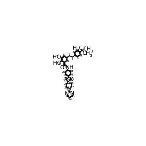 CC(C)(C)c1ccc(CCc2cc(O)c(O)c(C(=O)Nc3ccc(S(=O)(=O)N4CCN(c5ncccn5)CC4)cc3)c2)cc1